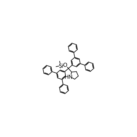 C[Si](C)(C)OC(c1cc(-c2ccccc2)cc(-c2ccccc2)c1)(c1cc(-c2ccccc2)cc(-c2ccccc2)c1)C1CCCN1